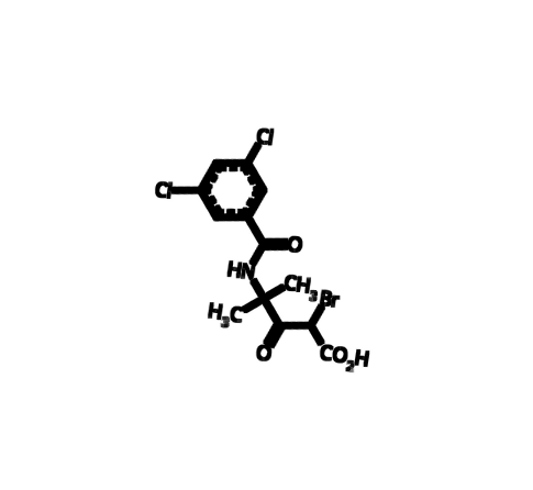 CC(C)(NC(=O)c1cc(Cl)cc(Cl)c1)C(=O)C(Br)C(=O)O